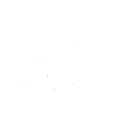 [C-]#[N+]c1c(Cc2ccccc2S(=O)(=O)N2CCCC2)c(C)n(CC(=O)O)c1C